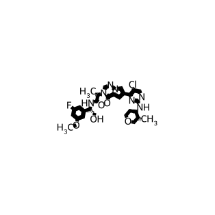 COc1cc(F)cc([C@@H](CO)NC(=O)[C@H](C)n2cnn3cc(-c4nc(N[C@@H]5CCOC[C@H]5C)ncc4Cl)cc3c2=O)c1